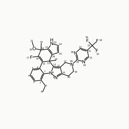 CCc1cccc2c1-n1nc3c(c1C1(C)C2=C(F)C(C)(OC)c2[nH]ccc21)CN(c1ncc(C(F)(F)F)cn1)CC3